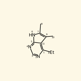 CCc1ncnc2[nH]c(C)c(C)c12